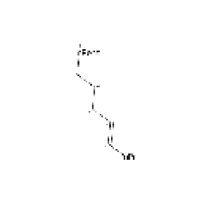 [CH2]CCC=CCCCCCCCC